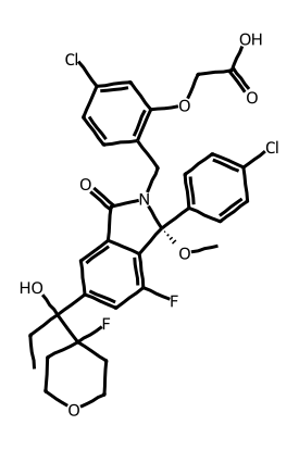 CCC(O)(c1cc(F)c2c(c1)C(=O)N(Cc1ccc(Cl)cc1OCC(=O)O)[C@@]2(OC)c1ccc(Cl)cc1)C1(F)CCOCC1